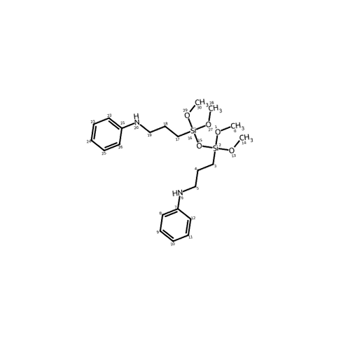 CO[Si](CCCNc1ccccc1)(OC)O[Si](CCCNc1ccccc1)(OC)OC